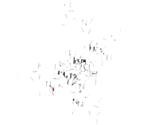 CC(C)(C)C(OP(=O)(OC(n1cc(-c2ccn(Cc3cc(F)cc(Cl)c3)c(=O)c2)c2cc(N3CCOCC3)cnc21)(C(C)(C)C)C(C)(C)C)OC(n1cc(-c2ccn(Cc3cc(F)cc(Cl)c3)c(=O)c2)c2cc(N3CCOCC3)cnc21)(C(C)(C)C)C(C)(C)C)(n1cc(-c2ccn(Cc3cc(F)cc(Cl)c3)c(=O)c2)c2cc(N3CCOCC3)cnc21)C(C)(C)C